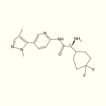 Cc1cnn(C)c1-c1ccc(NC(=O)[C@@H](N)C2CCC(F)(F)CC2)nc1